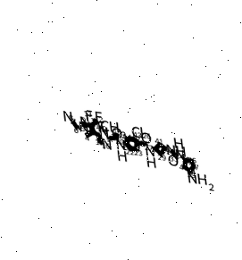 Cn1c(-c2cn(CC#N)nc2C(F)(F)F)cnc1C(=O)Nc1ccc(C(=O)NC2CC(NC(=O)N[C@@H]3CC[C@H](N)C3)C2)c(Cl)c1